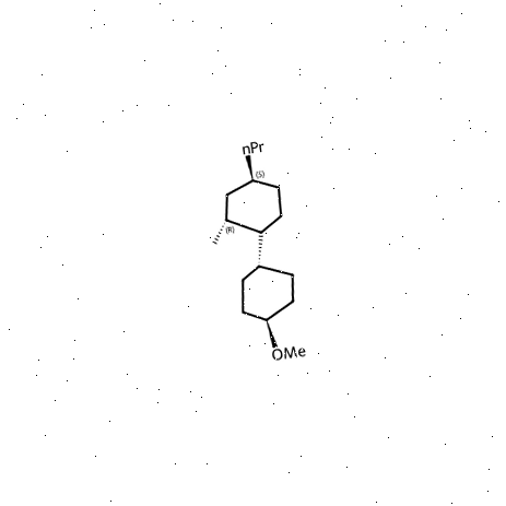 CCC[C@H]1CCC([C@H]2CC[C@H](OC)CC2)[C@H](C)C1